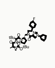 C[C@@H](C(=O)N[C@H](C(=O)N1CCC[C@H]1CN(CCc1ccc(F)cc1)C(=O)c1cn(-c2ccccc2)cn1)C(C)(C)C)N(C)C(=O)OC(C)(C)C